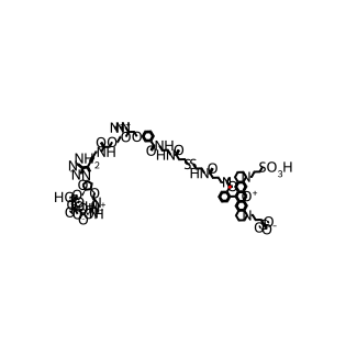 CN(CCCC(=O)NCCSSCCC(=O)NCCNC(=O)c1cccc(OCC(N=[N+]=[N-])OCCOCC(=O)NCC#Cc2cn([C@H]3C[C@@H](OCN=[N+]=[N-])[C@@H](COP(=O)(O)OP(=O)(O)OP(=O)(O)O)O3)c3ncnc(N)c23)c1)C(=O)c1ccccc1-c1c2cc3c(cc2[o+]c2cc4c(cc12)CCCN4CCCS(=O)(=O)O)N(CCCS(=O)(=O)[O-])CCC3